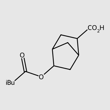 CCC(C)C(=O)OC1CC2CC1CC2C(=O)O